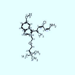 C=C(/C=C(Cl)\N=C/N)c1c2cc(OCC)ccc2nn1COCC[Si](C)(C)C